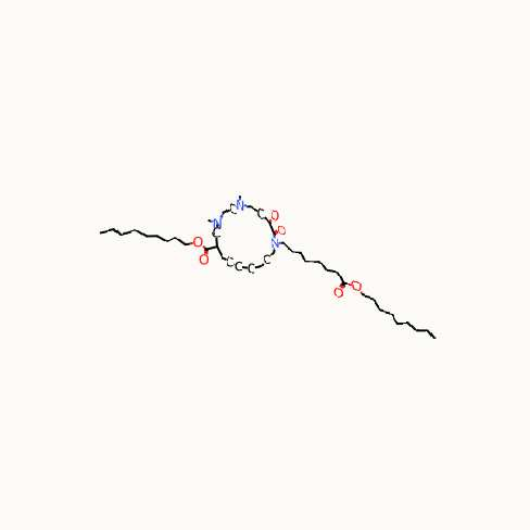 CCCCCCCCCOC(=O)CCCCCCCN1CCCCCCCC(C(=O)OCCCCCCCCC)CN(C)CCN(C)CCC(=O)C1=O